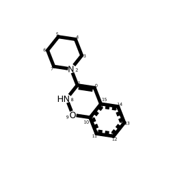 C1=C(N2CCCCC2)NOc2ccccc21